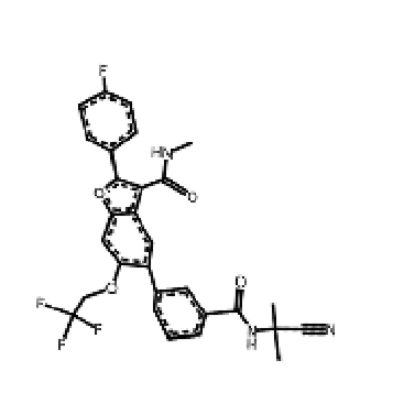 CNC(=O)c1c(-c2ccc(F)cc2)oc2cc(OCC(F)(F)F)c(-c3cccc(C(=O)NC(C)(C)C#N)c3)cc12